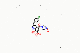 COC(=O)c1cc(C(=O)N2CCN(C=O)CC2)c2cc(Cc3ccc(F)cc3)cnc2c1O